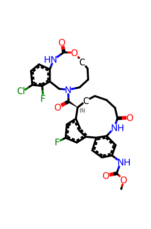 COC(=O)Nc1ccc2c(c1)NC(=O)CCCC[C@H](C(=O)N1CCCCOC(=O)Nc3ccc(Cl)c(F)c3C1)c1cc(F)cc-2c1